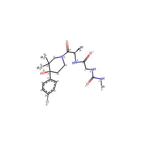 CC(C)NC(=O)NCC(=O)N[C@@H](C(=O)N1CC[C@](O)(c2ccc(Cl)cc2)C(C)(C)C1)C(C)C